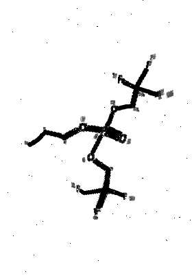 CCCOP(=O)(OCC(F)(F)F)OCC(F)(F)F